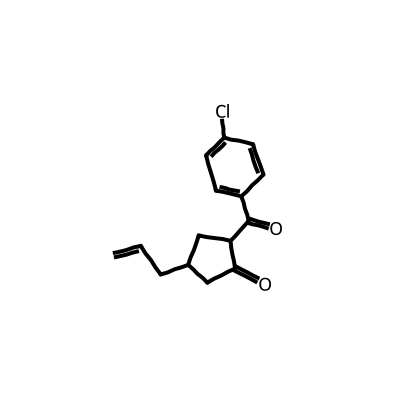 C=CCC1CC(=O)C(C(=O)c2ccc(Cl)cc2)C1